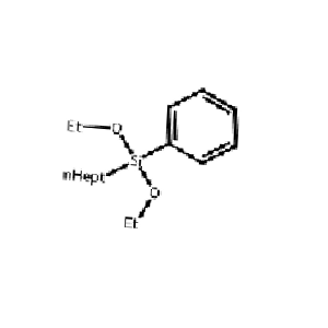 CCCCCCC[Si](OCC)(OCC)c1ccccc1